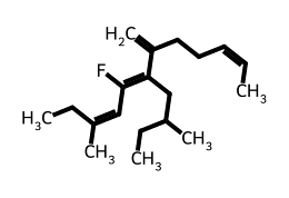 C=C(CC/C=C\C)/C(CC(C)CC)=C(F)/C=C(/C)CC